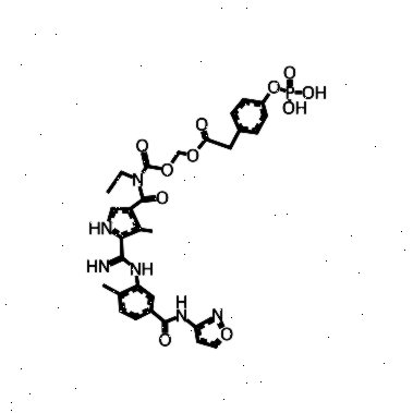 CCN(C(=O)OCOC(=O)Cc1ccc(OP(=O)(O)O)cc1)C(=O)c1c[nH]c(C(=N)Nc2cc(C(=O)Nc3ccon3)ccc2C)c1C